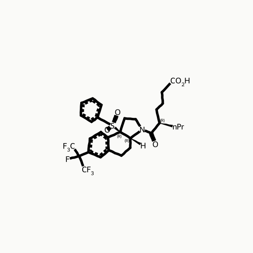 CCC[C@H](CCCC(=O)O)C(=O)N1CC[C@@]2(S(=O)(=O)c3ccccc3)c3ccc(C(F)(C(F)(F)F)C(F)(F)F)cc3CC[C@@H]12